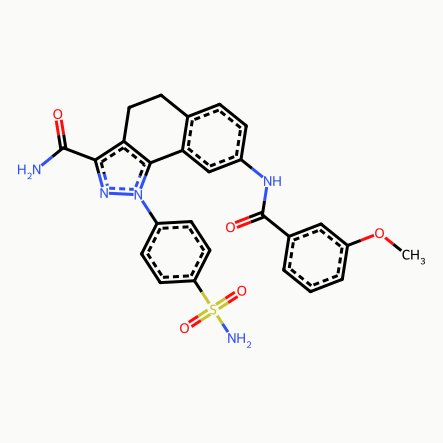 COc1cccc(C(=O)Nc2ccc3c(c2)-c2c(c(C(N)=O)nn2-c2ccc(S(N)(=O)=O)cc2)CC3)c1